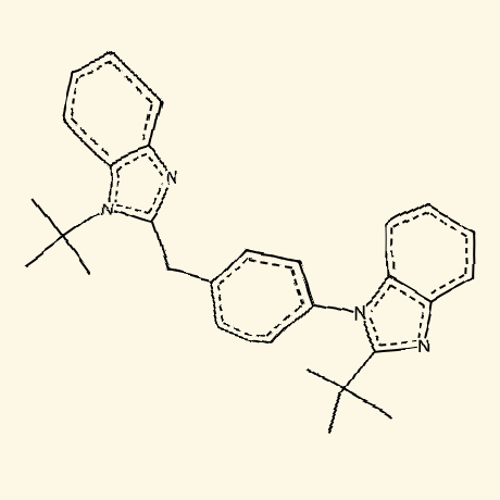 CC(C)(C)c1nc2ccccc2n1-c1ccc(Cc2nc3ccccc3n2C(C)(C)C)cc1